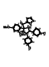 COc1ccc(C2(C(=O)c3ccno3)NC(c3ccc(Cl)cc3)C(c3ccc(Cl)cc3)N2)c(OC)c1